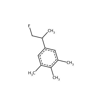 C[C](CF)c1cc(C)c(C)c(C)c1